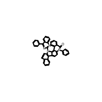 O=c1c2ccccc2c2c(ccc3c4c5ccccc5ccc4n(-c4nc(-c5ccccc5)c5ccccc5n4)c32)n1-c1ccccc1